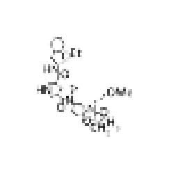 CCOC[C@@H](CC1CCCCC1)NC(=O)[C@@H]1CNC[C@H](C(=O)N(c2ccc3c(c2)N(CCCOC)C(=O)C(C)(C)O3)C2CC2)C1